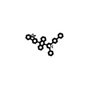 C[Si]1(C)c2ccccc2-c2ccc(-c3c4ccccc4c(-c4cc(-c5ccccc5)nc(-c5ccc(-c6ccccc6)cc5)c4)c4ccccc34)cc21